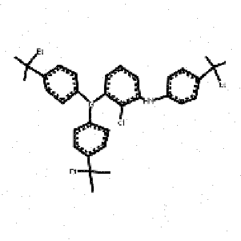 CCC(C)(C)c1ccc(Nc2cccc(N(c3ccc(C(C)(C)CC)cc3)c3ccc(C(C)(C)CC)cc3)c2Cl)cc1